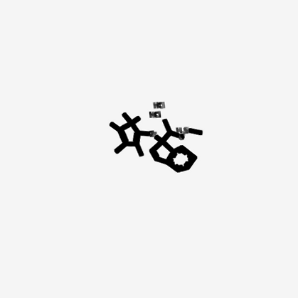 C[SiH2]OC(C)[C]1([Zr][C]2=C(C)C(C)=C(C)C2(C)C)C=Cc2ccccc21.Cl.Cl